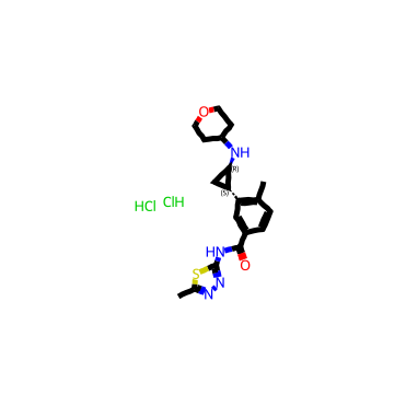 Cc1nnc(NC(=O)c2ccc(C)c([C@@H]3C[C@H]3NC3CCOCC3)c2)s1.Cl.Cl